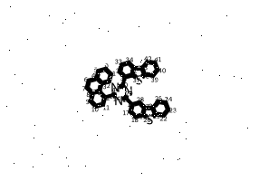 c1ccc2c(c1)ccc1cccc(-c3nc(-c4ccc5sc6ccccc6c5c4)nc(-c4cccc5c4sc4ccccc45)n3)c12